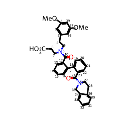 COc1cc(CCN(CCC(=O)O)C(=O)c2ccccc2-c2ccccc2C(=O)N2CCc3ccccc3C2)cc(OC)c1